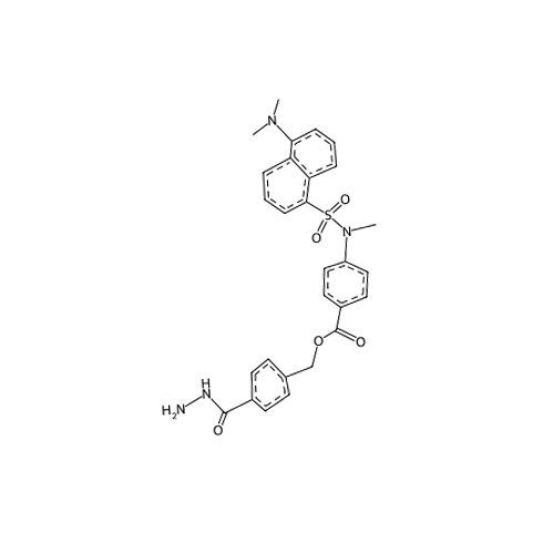 CN(C)c1cccc2c(S(=O)(=O)N(C)c3ccc(C(=O)OCc4ccc(C(=O)NN)cc4)cc3)cccc12